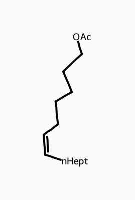 CCCCCCC/C=C\CCCCCOC(C)=O